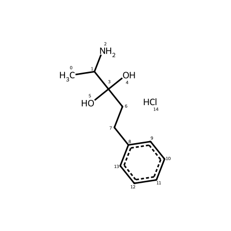 CC(N)C(O)(O)CCc1ccccc1.Cl